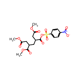 COC(=O)CC(CC(CC(=O)OC)C(=O)OS(=O)(=O)c1ccc([N+](=O)[O-])cc1)C(=O)OC